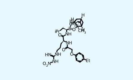 CCc1ccc(OCC(=O)N[C@@H](CCCNC(=N)N[N+](=O)[O-])C(=O)N[C@@H](CC(C)C)B2O[C@@H]3C[C@@H]4C[C@@H](C4(C)C)[C@]3(C)O2)cc1